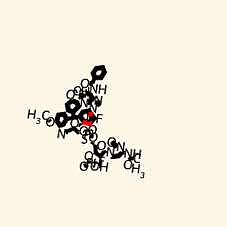 COc1ccc(C(OC[C@H]2O[C@@H](n3cnc4c(NC(=O)c5ccccc5)ncnc43)[C@H](F)[C@@H]2OP(=S)(OCCC#N)OC[C@H]2O[C@@H](n3ccc(NC(C)=O)nc3=O)[C@H](F)[C@@H]2O[PH](=O)O)(c2ccccc2)c2ccc(OC)cc2)cc1